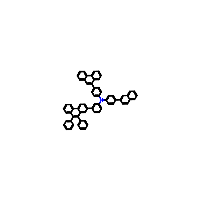 c1ccc(-c2c(-c3ccccc3)c3cc(-c4cccc(N(c5ccc(-c6ccc7ccccc7c6)cc5)c5ccc(-c6cc7ccccc7c7ccccc67)cc5)c4)ccc3c3ccccc23)cc1